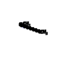 CCCCCCCCCCC/C=C(\C)C=O